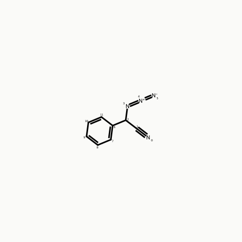 N#CC(N=[N+]=[N-])c1ccccc1